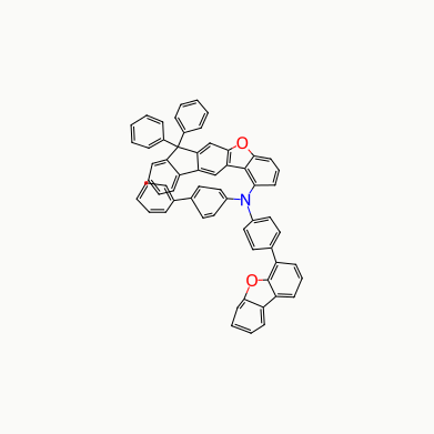 c1ccc(-c2ccc(N(c3ccc(-c4cccc5c4oc4ccccc45)cc3)c3cccc4oc5cc6c(cc5c34)-c3ccccc3C6(c3ccccc3)c3ccccc3)cc2)cc1